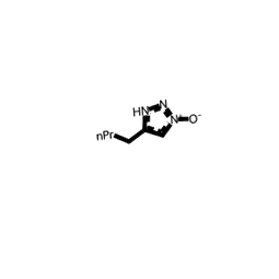 CCCCc1c[n+]([O-])n[nH]1